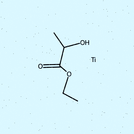 CCOC(=O)C(C)O.[Ti]